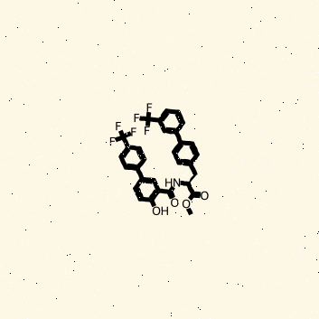 COC(=O)[C@H](Cc1ccc(-c2cccc(C(F)(F)F)c2)cc1)NC(=O)c1cc(-c2ccc(C(F)(F)F)cc2)ccc1O